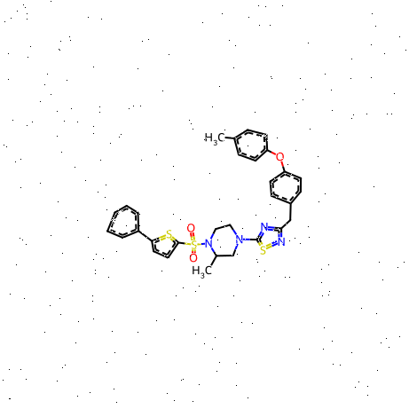 Cc1ccc(Oc2ccc(Cc3nsc(N4CCN(S(=O)(=O)c5ccc(-c6ccccc6)s5)C(C)C4)n3)cc2)cc1